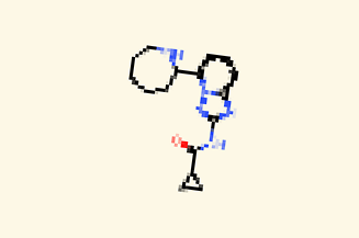 O=C(Nc1nc2cccc(C3CCCCCN3)n2n1)C1CC1